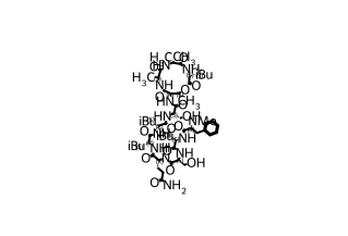 CC[C@H](C)[C@H](NC(=O)[C@@H](Cc1ccccc1)NC)C(=O)N[C@@H](CO)C(=O)N[C@H](CCC(N)=O)C(=O)N[C@@H](C(=O)N[C@H](C(=O)N[C@@H](CO)C(=O)N[C@H]1C(=O)N[C@@H](C)C(=O)NC(C)(C)C(=O)N[C@@H]([C@@H](C)CC)C(=O)O[C@H]1C)[C@@H](C)CC)[C@@H](C)CC